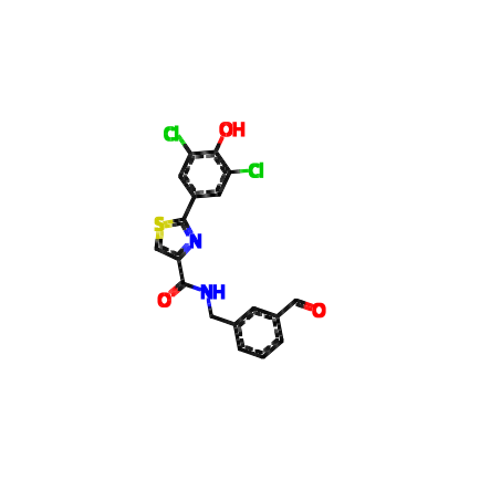 O=Cc1cccc(CNC(=O)c2csc(-c3cc(Cl)c(O)c(Cl)c3)n2)c1